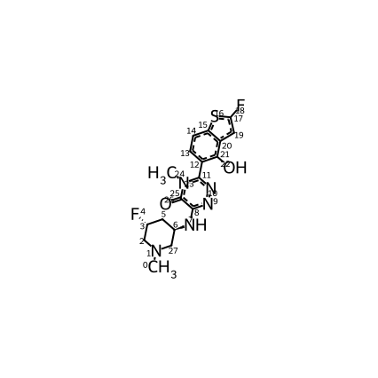 CN1C[C@H](F)C[C@@H](Nc2nnc(-c3ccc4sc(F)cc4c3O)n(C)c2=O)C1